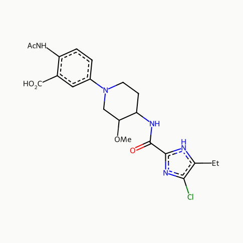 CCc1[nH]c(C(=O)NC2CCN(c3ccc(NC(C)=O)c(C(=O)O)c3)CC2OC)nc1Cl